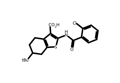 CC(C)(C)C1CCc2c(sc(NC(=O)c3ccccc3Cl)c2C(=O)O)C1